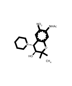 C.CC(=O)Nc1cc2c(cc1[N+](=O)[O-])[C@@H](N1CCCCC1)[C@H](O)C(C)(C)O2